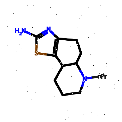 CCCN1CCCC2c3sc(N)nc3CCC21